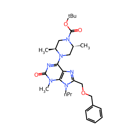 CCCn1c(COCc2ccccc2)nc2c(N3C[C@@H](C)N(C(=O)OC(C)(C)C)C[C@@H]3C)nc(=O)n(C)c21